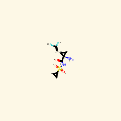 N[C@]1(C(=O)NS(=O)(=O)C2CC2)C[C@H]1C=C(F)F